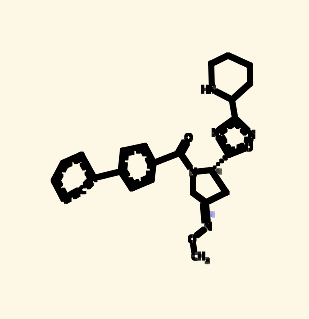 CO/N=C1/C[C@@H](c2nc(C3CCCCN3)no2)N(C(=O)c2ccc(-c3ccccc3)cc2)C1